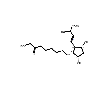 CCCCCC(O)/C=C/[C@@H]1[C@@H](CCCCCCC(=O)COC(C)=O)[C@@H](O)C[C@H]1O